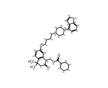 CC1(C)CC(=O)N(COC(=O)C2CCCCC2)c2cc(OCCCCN3CCN(c4cccc5sccc45)CC3)ccc21